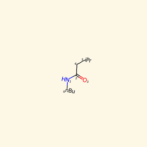 CCCCNC(=O)CC(C)C